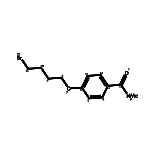 CNC(=O)c1ccc(OCCCCBr)cc1